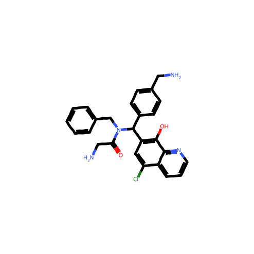 NCC(=O)N(Cc1ccccc1)C(c1ccc(CN)cc1)c1cc(Cl)c2cccnc2c1O